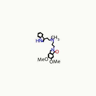 COc1cc2c(cc1OC)C(=O)N(CCCN(C)CCc1c[nH]c3ccccc13)C2